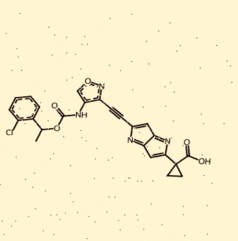 CC(OC(=O)Nc1conc1C#CC1=CC2=NC(C3(C(=O)O)CC3)=CC2=N1)c1ccccc1Cl